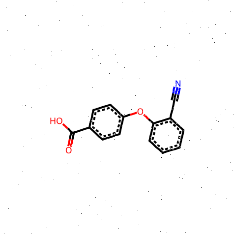 N#Cc1ccccc1Oc1ccc(C(=O)O)cc1